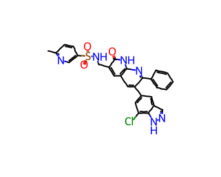 Cc1ccc(S(=O)(=O)NCc2cc3cc(-c4cc(Cl)c5[nH]ncc5c4)c(-c4ccccc4)nc3[nH]c2=O)cn1